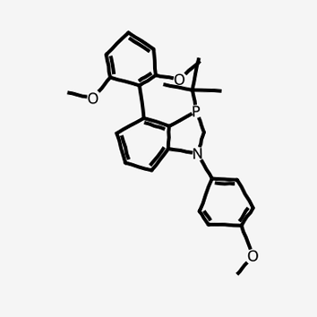 COc1ccc(N2CP(C(C)(C)C)c3c(-c4c(OC)cccc4OC)cccc32)cc1